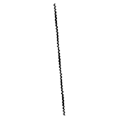 CCCCCCCCCCCCCCCCCCCCCCCCCCCCCCCCCCCCCCCCCCCCCCCCCCCCCCCCCCCCCCCCCCCCCCCCCCCCC